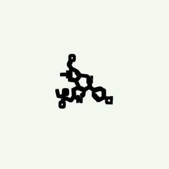 CCS(=O)(=O)Cc1cc2c(cn1)C(c1ccc(Cl)cc1)=NCC1=CC(C=O)N(C)C=C12